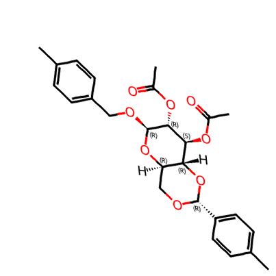 CC(=O)O[C@@H]1[C@@H](OC(C)=O)[C@H](OCc2ccc(C)cc2)O[C@@H]2CO[C@@H](c3ccc(C)cc3)O[C@@H]12